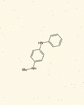 CC(C)(C)Nc1ccc(Nc2ccccc2)cc1